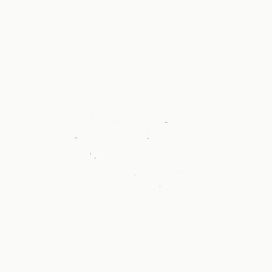 CCC(OC)C1(C)C=CC=CC1c1nccs1